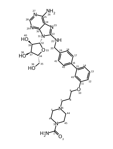 NC(=O)N1CCN(CCCOc2cccc(-c3ccc(CNc4nc5c(N)ncnc5n4[C@@H]4O[C@H](CO)[C@@H](O)[C@H]4O)cc3)c2)CC1